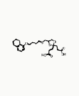 O=C(O)CCC1(CCC(=O)O)OCC(CSCCCCOc2cccc3c2CCCC3)S1